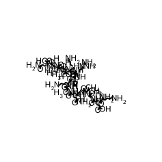 CC(C)[C@H](NC(=O)CNC(=O)[C@H](CCC(=O)O)NC(=O)[C@@H](N)CCCCN)C(=O)NCC(=O)N[C@@H](CCC(N)=O)C(=O)N[C@@H](C)C(=O)N[C@@H](CCCCN)C(=O)N1CCC[C@H]1C(=O)N[C@@H](CCCNC(=N)N)C(=O)N[C@@H](CCCCN)C(=O)N[C@H](C(=O)N[C@@H](C)C(=O)N[C@@H](C)C(=O)N[C@@H](CCC(N)=O)C(=O)O)C(C)C